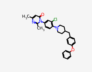 Cc1cc(=O)n(-c2ccc(N3CCC(Cc4ccc(Oc5ccccc5)cc4)CC3)c(Cl)c2)c(C)n1